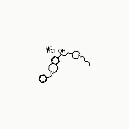 CCCCN1CCC(CCC(O)c2ccc3c(c2)CCN(Cc2ccccc2)CC3)CC1.Cl.Cl